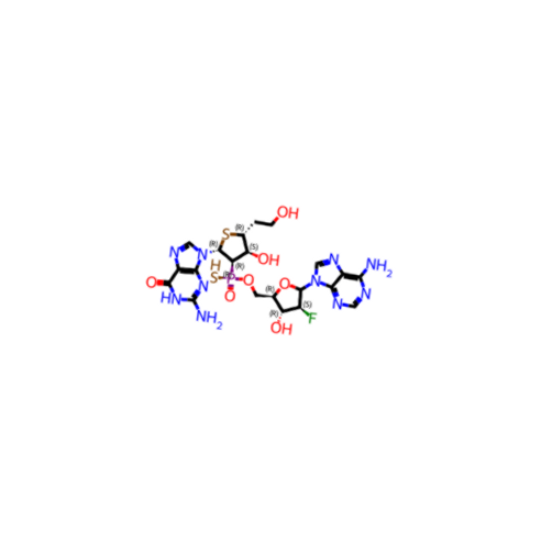 Nc1nc2c(ncn2[C@@H]2S[C@H](CCO)[C@@H](O)[C@H]2[P@](=O)(S)OC[C@H]2OC(n3cnc4c(N)ncnc43)[C@@H](F)[C@@H]2O)c(=O)[nH]1